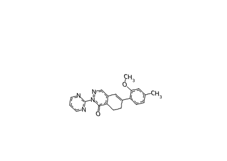 COc1cc(C)ccc1C1=Cc2cnn(-c3ncccn3)c(=O)c2CC1